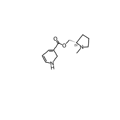 CN1CCC[C@H]1COC(=O)C1=CC=CNC1